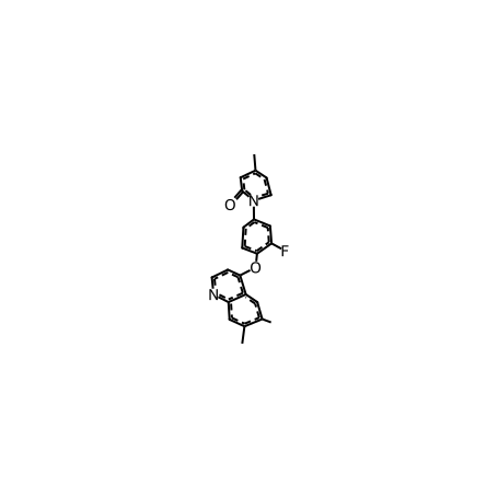 Cc1ccn(-c2ccc(Oc3ccnc4cc(C)c(C)cc34)c(F)c2)c(=O)c1